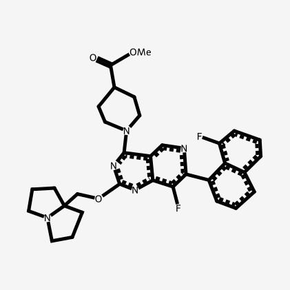 COC(=O)C1CCN(c2nc(OCC34CCCN3CCC4)nc3c(F)c(-c4cccc5cccc(F)c45)ncc23)CC1